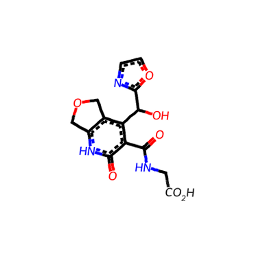 O=C(O)CNC(=O)c1c(C(O)c2ncco2)c2c([nH]c1=O)COC2